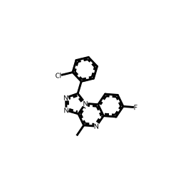 Cc1nc2cc(F)ccc2n2c(-c3ccccc3Cl)nnc12